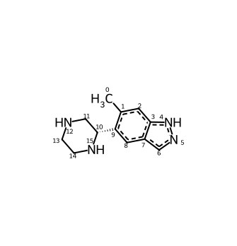 Cc1cc2[nH]ncc2cc1[C@H]1CNCCN1